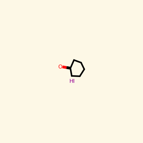 I.O=C1CCCCC1